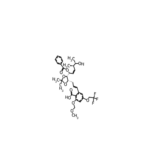 COCOc1cc(OCC(F)(F)F)cc(/C=C/C[C@@H]2OC(C)(C)O[C@@H]2C(/C=C\[C@@H](C)[C@@H](C)O)OC(=O)c2ccccc2)c1C(=O)O